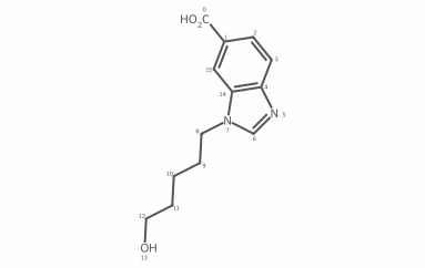 O=C(O)c1ccc2ncn(CCCCCO)c2c1